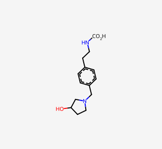 O=C(O)NCCc1ccc(CN2CCC(O)C2)cc1